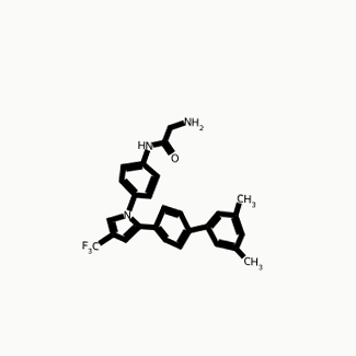 Cc1cc(C)cc(-c2ccc(-c3cc(C(F)(F)F)cn3-c3ccc(NC(=O)CN)cc3)cc2)c1